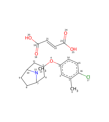 Cc1cc(OC2CC3CCC(C2)N3C)ccc1Cl.O=C(O)/C=C/C(=O)O